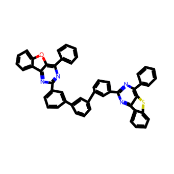 c1ccc(-c2nc(-c3cccc(-c4cccc(-c5cccc(-c6nc(-c7ccccc7)c7sc8ccccc8c7n6)c5)c4)c3)nc3c2oc2ccccc23)cc1